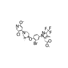 COC(=O)C[C@H]1[C@H](C)C(C(F)(F)F)=NN1c1ccc(O[C@@H]2CCN(c3cc(OC)ncc3Cl)C[C@H]2C)c(Br)c1